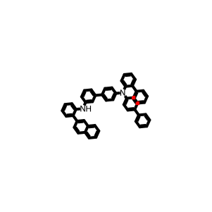 c1ccc(-c2ccc(N(c3ccc(-c4cccc(Nc5ccccc5-c5ccc6ccccc6c5)c4)cc3)c3ccccc3-c3ccccc3)cc2)cc1